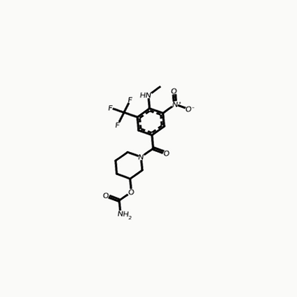 CNc1c([N+](=O)[O-])cc(C(=O)N2CCCC(OC(N)=O)C2)cc1C(F)(F)F